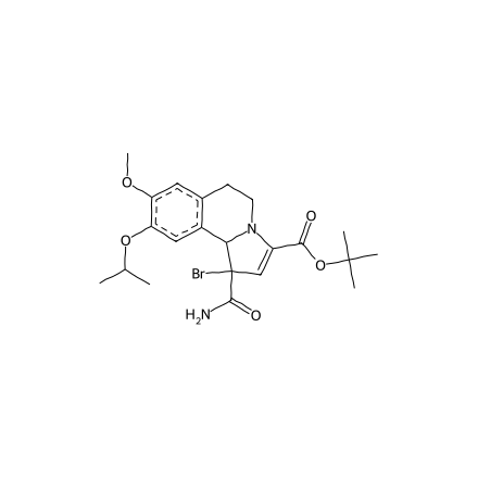 COc1cc2c(cc1OC(C)C)C1N(CC2)C(C(=O)OC(C)(C)C)=CC1(Br)C(N)=O